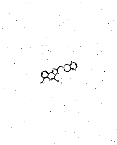 COc1cccc2c1nc(N)n1nc(CN3CCc4nccnc4C3)nc21